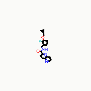 O=C(NCc1cccc(OCC2CC2)c1F)c1ccc2ncccc2n1